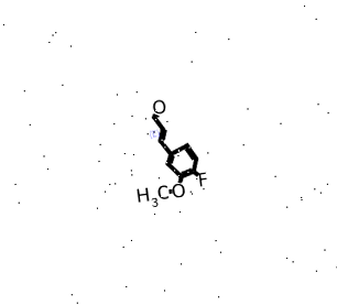 COc1cc(/C=C/C=O)ccc1F